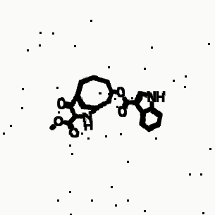 COC(=O)C1NC2CC(OC(=O)c3c[nH]c4ccccc34)CCCC(C2)C1=O